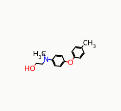 Cc1ccc(Oc2ccc(N(C)CCO)cc2)cc1